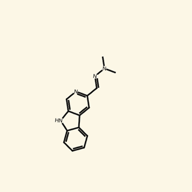 CN(C)/N=C/c1cc2c(cn1)[nH]c1ccccc12